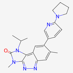 Cc1cc2nnc3c(c2cc1-c1ccc(N2CCCC2)nc1)n(C(C)C)c(=O)n3C